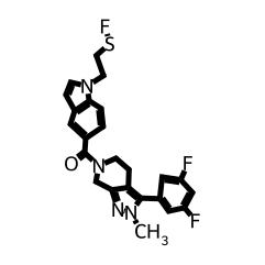 Cn1nc2c(c1-c1cc(F)cc(F)c1)CCN(C(=O)c1ccc3c(ccn3CCSF)c1)C2